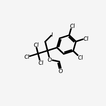 O=COC(CI)(c1cc(Cl)c(Cl)c(Cl)c1)C(Cl)(Cl)Cl